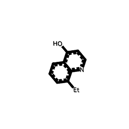 CCc1cccc2c(O)ccnc12